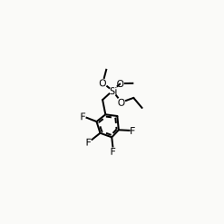 CCO[Si](Cc1cc(F)c(F)c(F)c1F)(OC)OC